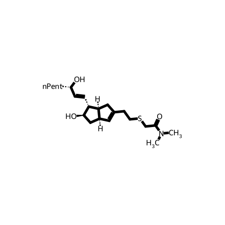 CCCCC[C@H](O)/C=C/[C@@H]1[C@H]2CC(CCSCC(=O)N(C)C)=C[C@H]2C[C@H]1O